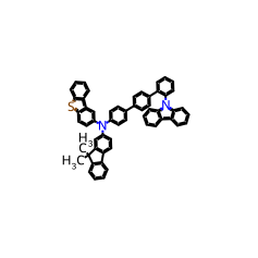 CC1(C)c2ccccc2-c2ccc(N(c3ccc(-c4ccc(-c5ccccc5-n5c6ccccc6c6ccccc65)cc4)cc3)c3ccc4sc5ccccc5c4c3)cc21